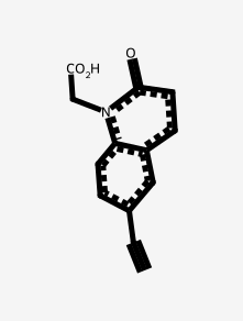 C#Cc1ccc2c(ccc(=O)n2CC(=O)O)c1